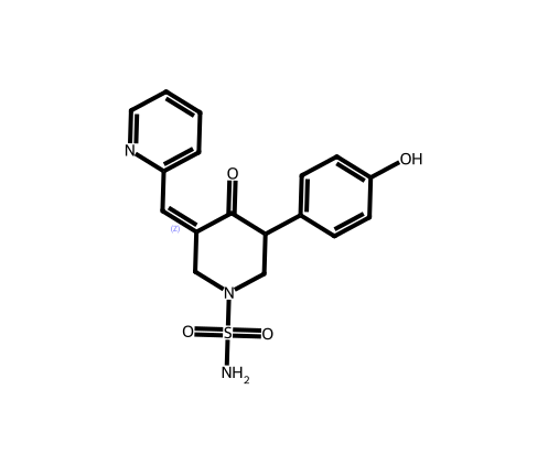 NS(=O)(=O)N1C/C(=C/c2ccccn2)C(=O)C(c2ccc(O)cc2)C1